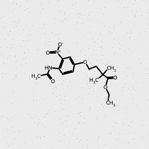 CCOC(=O)C(C)(C)CCOc1ccc(NC(C)=O)c([N+](=O)[O-])c1